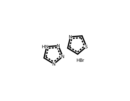 Br.c1cscn1.c1nnn[nH]1